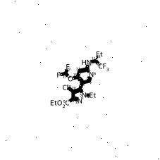 CCOC(=O)c1nn(CC)c(-c2cnc(N[C@@H](CC)C(F)(F)F)cc2OC(F)F)c1Cl